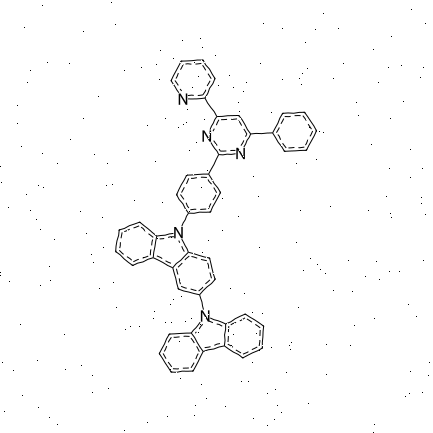 c1ccc(-c2cc(-c3ccccn3)nc(-c3ccc(-n4c5ccccc5c5cc(-n6c7ccccc7c7ccccc76)ccc54)cc3)n2)cc1